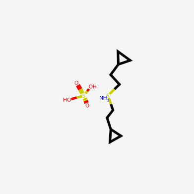 C(CC1CC1)SCCC1CC1.N.O=S(=O)(O)O